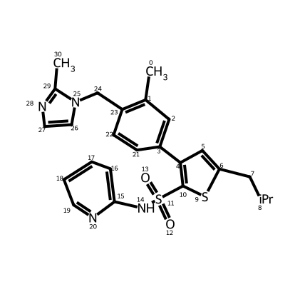 Cc1cc(-c2cc(CC(C)C)sc2S(=O)(=O)Nc2ccccn2)ccc1Cn1ccnc1C